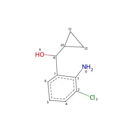 Nc1c(Cl)cccc1C(O)C1CC1